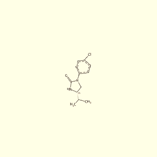 CC(C)[C@H]1CN(c2ccc(Cl)cn2)C(=O)N1